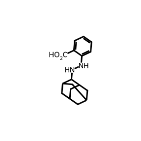 O=C(O)c1ccccc1NNC1C2CC3CC(C2)CC1C3